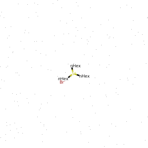 CCCCCC[S+](CCCCCC)CCCCCC.[Br-]